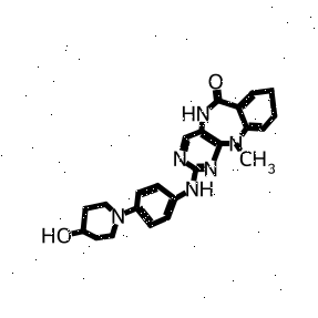 CN1C2=CCCC=C2C(=O)Nc2cnc(Nc3ccc(N4CCC(O)CC4)cc3)nc21